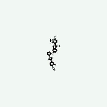 N#Cc1ccc(C2CN([C@H]3CCC[C@@H]3Oc3ccc4c(c3)CN(C3CCC(=O)NC3=O)C4=O)C2)cc1F